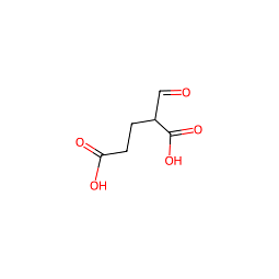 O=CC(CCC(=O)O)C(=O)O